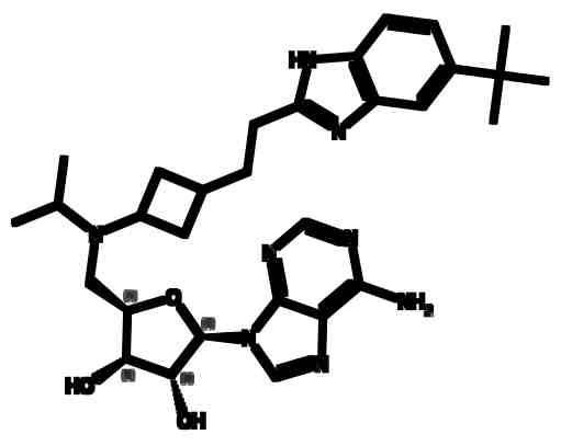 CC(C)N(C[C@H]1O[C@@H](n2cnc3c(N)ncnc32)[C@H](O)[C@H]1O)C1CC(CCc2nc3cc(C(C)(C)C)ccc3[nH]2)C1